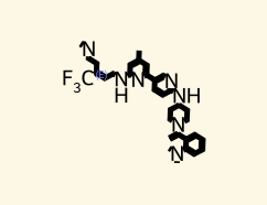 C=NCC/C(=C\CNc1cc(C)cc(-c2ccc(NC3CCN(C(=C)c4ccccc4N(C)C)CC3)nc2)n1)C(F)(F)F